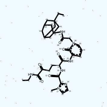 CCNC(=O)C(=O)CC[C@H](NC(=O)c1nccn1C)C(=O)Nc1cccn(CC(=O)NC23CC4CC(CC(CC)(C4)C2)C3)c1=O